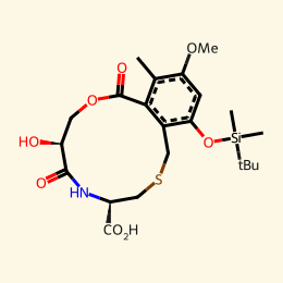 COc1cc(O[Si](C)(C)C(C)(C)C)c2c(c1C)C(=O)OC[C@H](O)C(=O)N[C@H](C(=O)O)CSC2